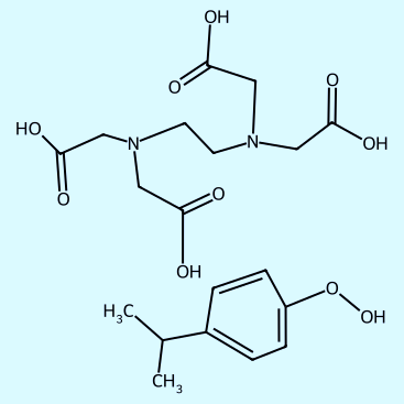 CC(C)c1ccc(OO)cc1.O=C(O)CN(CCN(CC(=O)O)CC(=O)O)CC(=O)O